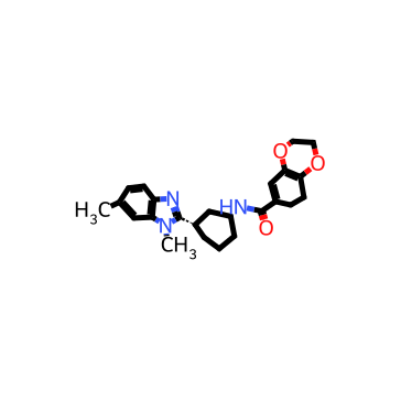 Cc1ccc2nc([C@H]3CCC[C@@H](NC(=O)C4=CC5=C(CC4)OCCO5)C3)n(C)c2c1